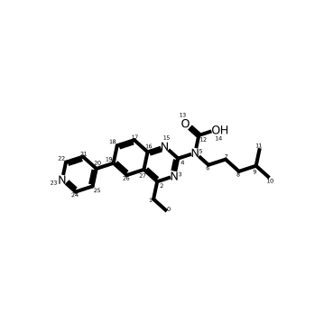 CCc1nc(N(CCCC(C)C)C(=O)O)nc2ccc(-c3ccncc3)cc12